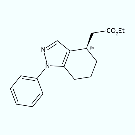 CCOC(=O)C[C@H]1CCCc2c1cnn2-c1ccccc1